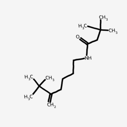 C=C(CCCCNC(=O)CC(C)(C)C)C(C)(C)C